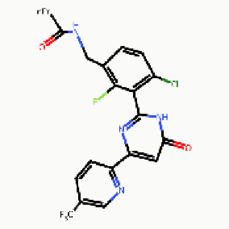 CCCC(=O)NCc1ccc(Cl)c(-c2nc(-c3ccc(C(F)(F)F)cn3)cc(=O)[nH]2)c1F